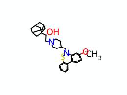 COc1ccc2c(c1)N(CC1CCN(CC(O)C34CC5CC(CC(C5)C3)C4)CC1)Sc1ccccc1-2